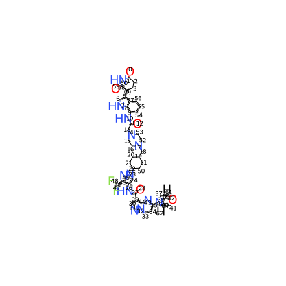 O=C1CC[C@@H](c2c[nH]c3c(NC(=O)CN4CCN(CC5CCC(n6cc(NC(=O)c7cnn8ccc(N9C[C@@H]%10C[C@H]9CO%10)nc78)c(C(F)F)n6)CC5)CC4)cccc23)C(=O)N1